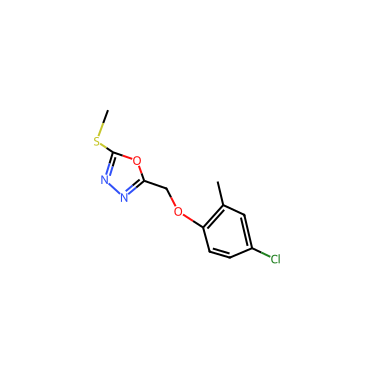 CSc1nnc(COc2ccc(Cl)cc2C)o1